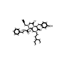 C#CCN1CC(=O)N2[C@@H](Cc3ccc(O)cc3)C(=O)N(CCC(CC)CC)C[C@@H]2N1C(=O)NCc1ccccc1